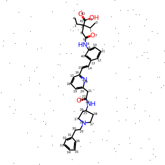 CCC(CC)(CC(=O)Nc1cccc(/C=C/c2cccc(CC(=O)NC3CCN(CCc4ccccc4)CC3)n2)c1)C(=O)O